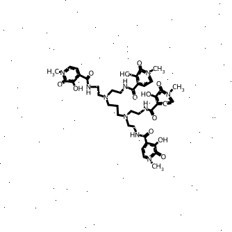 Cn1ccc(C(=O)NCCN(CCCN(CCNC(=O)c2ccn(C)c(=O)c2O)CCNC(=O)c2ccn(C)c(=O)c2O)CCNC(=O)c2ccn(C)c(=O)c2O)c(O)c1=O